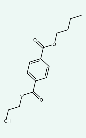 CCCCOC(=O)c1ccc(C(=O)OCCO)cc1